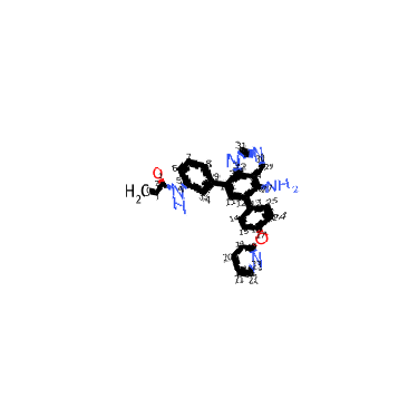 C=CC(=O)Nc1cccc(-c2cc(-c3ccc(Oc4ccccn4)cc3)c(N)c3cncnc23)c1